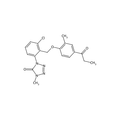 CCC(=O)c1ccc(OCc2c(Cl)cccc2-n2nnn(C)c2=O)c(C)c1